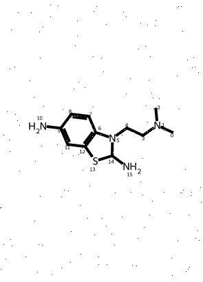 CN(C)CCN1c2ccc(N)cc2SC1N